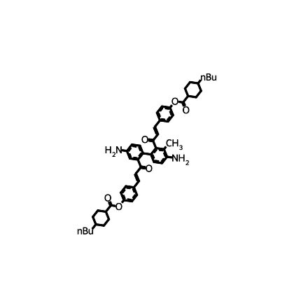 CCCCC1CCC(C(=O)Oc2ccc(C=CC(=O)c3cc(N)ccc3-c3ccc(N)c(C)c3C(=O)C=Cc3ccc(OC(=O)C4CCC(CCCC)CC4)cc3)cc2)CC1